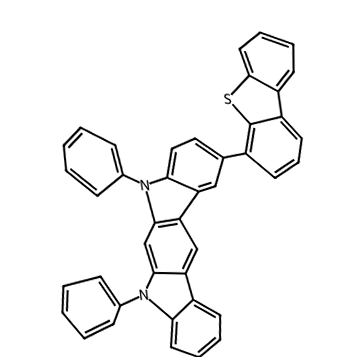 c1ccc(-n2c3ccccc3c3cc4c5cc(-c6cccc7c6sc6ccccc67)ccc5n(-c5ccccc5)c4cc32)cc1